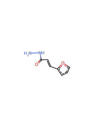 NNC(=O)/C=C/c1ccco1